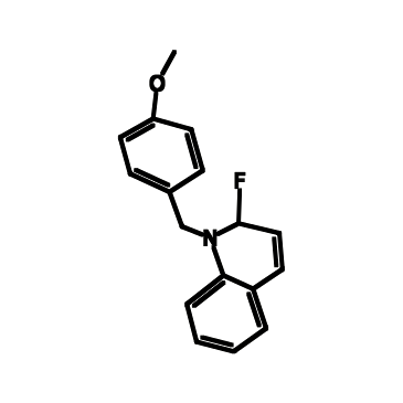 COc1ccc(CN2c3ccccc3C=CC2F)cc1